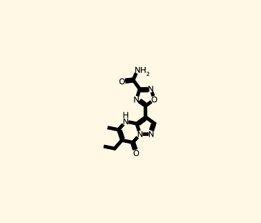 CCc1c(C)[nH]c2c(-c3nc(C(N)=O)no3)cnn2c1=O